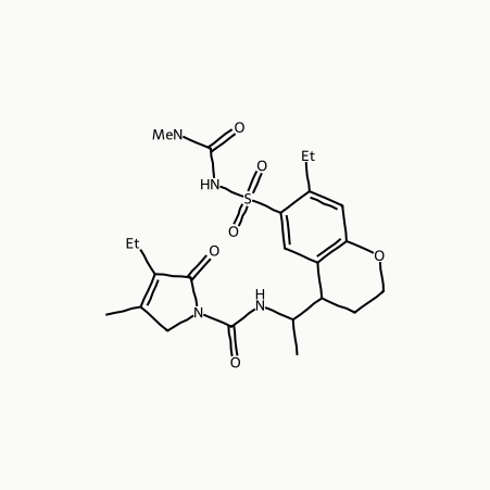 CCC1=C(C)CN(C(=O)NC(C)C2CCOc3cc(CC)c(S(=O)(=O)NC(=O)NC)cc32)C1=O